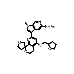 CC(=O)Nc1cc2c(-c3cc(OCC4CCCO4)c4c(n3)C3(CCOC3)OCC4)cn(C)c2cn1